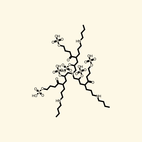 CCCCNCCCC(CC(CN(CC(CC(CCCNCCCC)C(=O)CCCOS(=O)(=O)O)OS(=O)(=O)O)CC(CC(CCCNCCCC)C(=O)CCCOS(=O)(=O)O)OS(=O)(=O)O)OS(=O)(=O)O)C(=O)CCCOS(=O)(=O)O